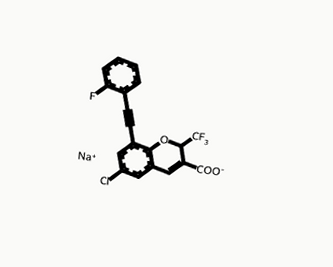 O=C([O-])C1=Cc2cc(Cl)cc(C#Cc3ccccc3F)c2OC1C(F)(F)F.[Na+]